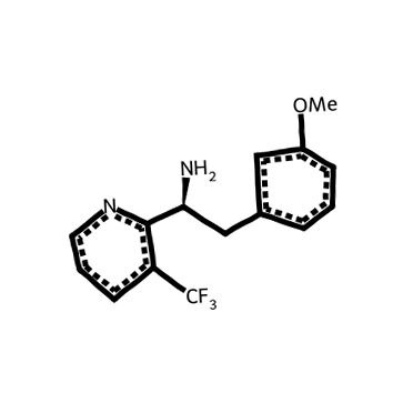 COc1cccc(C[C@H](N)c2ncccc2C(F)(F)F)c1